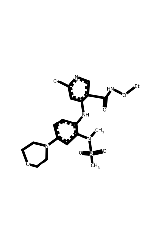 CCONC(=O)c1cnc(Cl)cc1Nc1ccc(N2CCOCC2)cc1N(C)S(C)(=O)=O